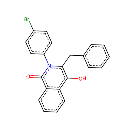 O=c1c2ccccc2c(O)c(Cc2ccccc2)n1-c1ccc(Br)cc1